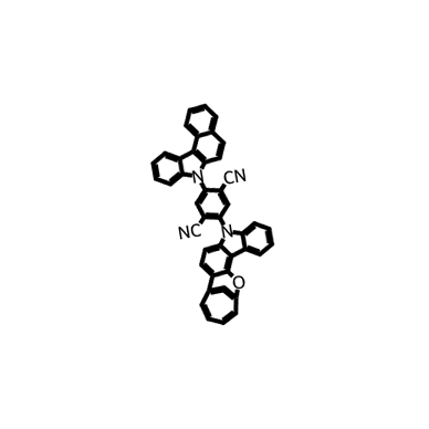 N#Cc1cc(-n2c3ccccc3c3c4ccccc4ccc32)c(C#N)cc1-n1c2ccccc2c2c3c(ccc21)C1=C=C(C=CC=C1)O3